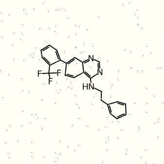 FC(F)(F)c1ccccc1-c1ccc2c(NCCc3ccccc3)ncnc2c1